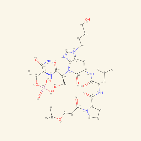 CC(C)C[C@H](NC(=O)[C@@H]1CCCN1C(=O)CCOC(C)C)C(=O)N[C@@H](Cc1cncn1CCCCO)C(=O)N[C@@H](CO)C(=O)N[C@H](C(N)=O)[C@@H](C)OP(=O)(O)O